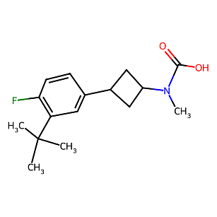 CN(C(=O)O)C1CC(c2ccc(F)c(C(C)(C)C)c2)C1